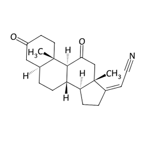 C[C@]12CCC(=O)C[C@@H]1CC[C@@H]1[C@@H]2C(=O)C[C@]2(C)/C(=C\C#N)CC[C@@H]12